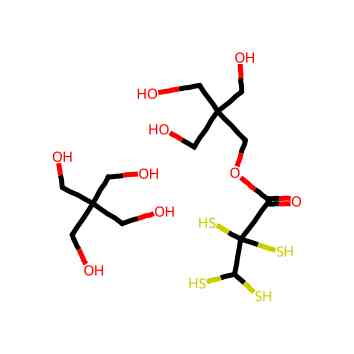 O=C(OCC(CO)(CO)CO)C(S)(S)C(S)S.OCC(CO)(CO)CO